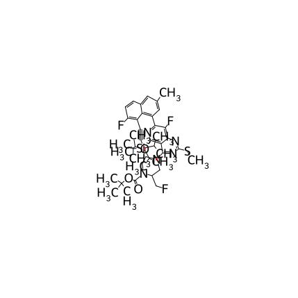 CSc1nc(N2CCN(C(=O)OC(C)(C)C)C(CF)C2)c2c(OC(C)C)nc(-c3cc(C)cc4ccc(F)c(C#C[Si](C(C)C)(C(C)C)C(C)C)c34)c(F)c2n1